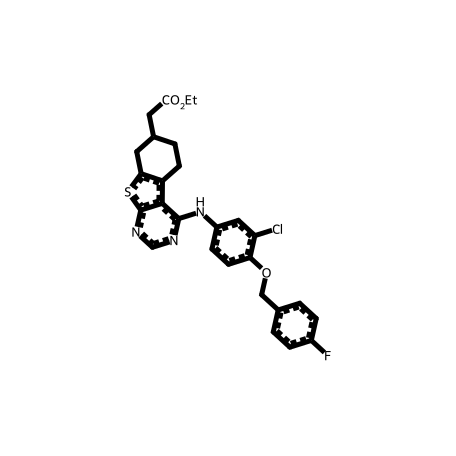 CCOC(=O)CC1CCc2c(sc3ncnc(Nc4ccc(OCc5ccc(F)cc5)c(Cl)c4)c23)C1